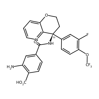 Nc1cc(C(=O)N[C@]2(c3ccc(OC(F)(F)F)c(F)c3)CCOc3cccnc32)ccc1C(=O)O